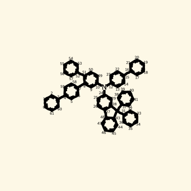 c1ccc(-c2ccc(-c3cc(N(c4ccc(-c5ccccc5)cc4)c4ccc5c(c4)C(c4ccccc4)(c4ccccc4)c4ccccc4-5)ccc3-c3ccccc3)cc2)cc1